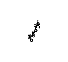 CN(C(=O)CNC(=O)c1ccc(-c2cccc(CNC(=O)c3ccnc(F)c3)c2)o1)C1CCCCC1